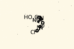 N#CC1(Cn2c(C[C@H]3CC[C@H](Oc4ccnc(Cc5ccc(Cl)cc5)n4)CC3)nc3ccc(C(=O)O)nc32)CC1